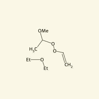 C=COOC(C)OC.CCOCC